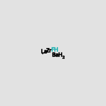 F.[BaH2].[La].[Zr]